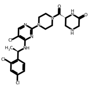 C[C@@H](Nc1nc(N2CCN(C(=O)[C@H]3CNCC(=O)N3)CC2)ncc1Cl)c1ccc(Cl)cc1Cl